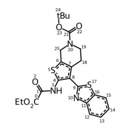 CCOC(=O)C(=O)Nc1sc2c(c1-c1nc3ccccc3s1)CCN(C(=O)OC(C)(C)C)C2